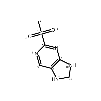 CS(=O)(=O)c1ncc2c(n1)NCN2